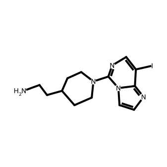 NCCC1CCN(c2ncc(I)c3nccn23)CC1